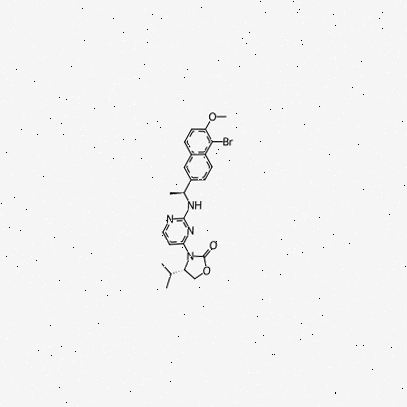 COc1ccc2cc([C@H](C)Nc3nccc(N4C(=O)OC[C@@H]4C(C)C)n3)ccc2c1Br